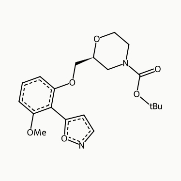 COc1cccc(OC[C@@H]2CN(C(=O)OC(C)(C)C)CCO2)c1-c1ccno1